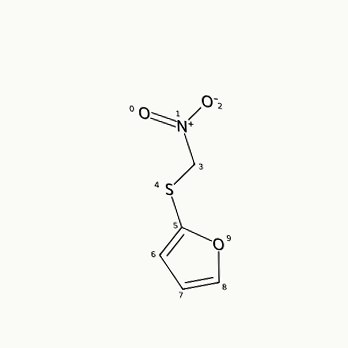 O=[N+]([O-])CSc1ccco1